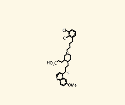 COc1ccc2nccc([C@@H](F)CCC3CCN(CCCCc4cccc(Cl)c4Cl)CC3CCC(=O)O)c2c1